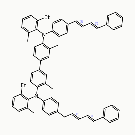 CCc1cccc(C)c1N(c1ccc(/C=C/C=C/c2ccccc2)cc1)c1ccc(-c2ccc(N(c3ccc(C/C=C/C=C/c4ccccc4)cc3)c3c(C)cccc3CC)c(C)c2)cc1C